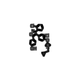 Cl.Oc1ccc(-c2onc(-c3ccccc3Cl)c2-c2ccc(OC3CN(CC4CC4)C3)cc2)cc1